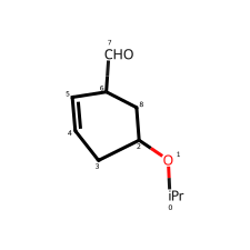 CC(C)OC1CC=CC(C=O)C1